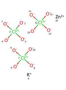 [K+].[O-][Cl+3]([O-])([O-])[O-].[O-][Cl+3]([O-])([O-])[O-].[O-][Cl+3]([O-])([O-])[O-].[Zn+2]